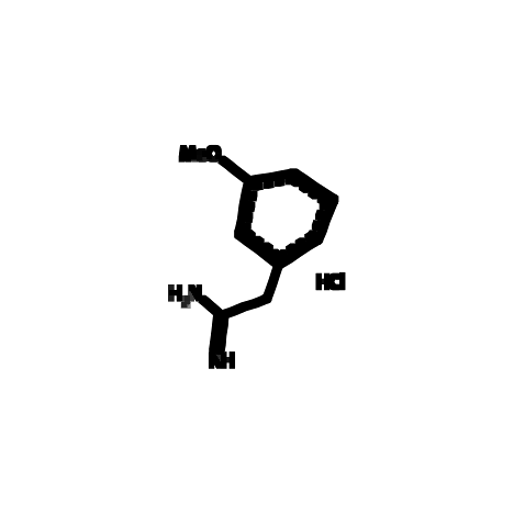 COc1cccc(CC(=N)N)c1.Cl